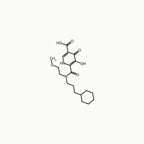 COCCN(CCCC1CCCCC1)C(=O)c1[nH]cc(C(=O)O)c(=O)c1O